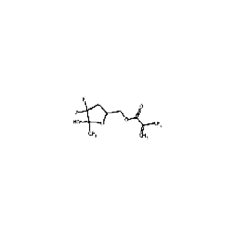 C=C(C(=O)OCC1CC(F)(F)C(O)(C(F)(F)F)O1)C(F)(F)F